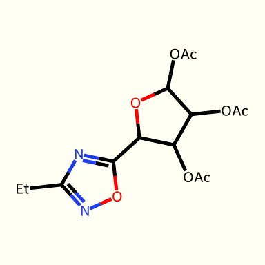 CCc1noc(C2OC(OC(C)=O)C(OC(C)=O)C2OC(C)=O)n1